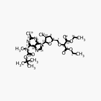 CCOC(=O)C(OC[C@@H]1C[C@H](Cl)C(n2cnc3c(N(C)C(=O)OC(C)(C)C)nc(Cl)nc32)O1)C(=O)OCC